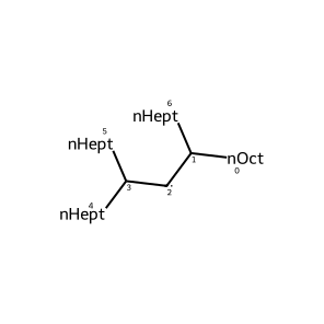 CCCCCCCCC([CH]C(CCCCCCC)CCCCCCC)CCCCCCC